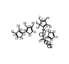 CC1=C(C)C(C)(C)[C]([Zr+2])=C1C.CC1=CCC(C2=C(C)C(C)=CC2)=C1C.[CH3][Zr]([Cl])([Cl])[C]1=CC=CC1.[Cl-].[Cl-]